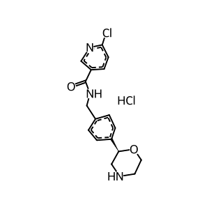 Cl.O=C(NCc1ccc([C@@H]2CNCCO2)cc1)c1ccc(Cl)nc1